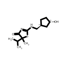 CC(C)C1(C)SC(NC[C@H]2CC[C@H](O)C2)=NC1=O